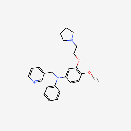 COc1ccc(N(Cc2cccnc2)c2ccccc2)cc1OCCN1CCCC1